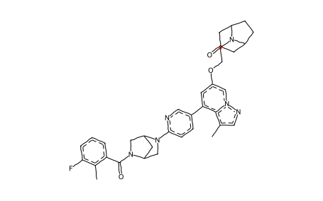 Cc1c(F)cccc1C(=O)N1CC2CC1CN2c1ccc(-c2cc(OCCN3C4CCC3CC(=O)C4)cn3ncc(C)c23)cn1